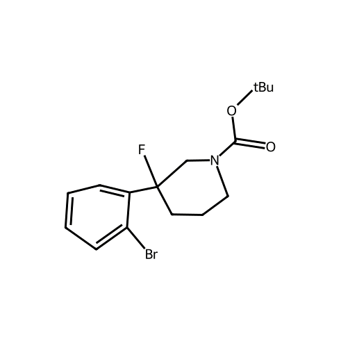 CC(C)(C)OC(=O)N1CCCC(F)(c2ccccc2Br)C1